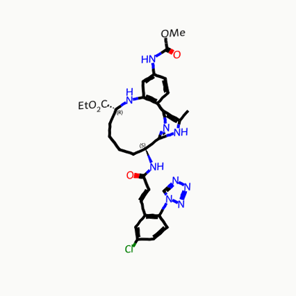 CCOC(=O)[C@H]1CCCC[C@H](NC(=O)C=Cc2cc(Cl)ccc2-n2cnnn2)c2nc(c(C)[nH]2)-c2ccc(NC(=O)OC)cc2N1